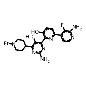 CCN1CCC(c2nc(N)nc(-c3nc(-c4ccnc(N)c4F)ccc3O)c2C)CC1